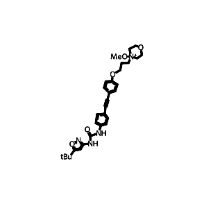 CO[N+]1(CCCOc2ccc(C#Cc3ccc(NC(=O)Nc4cc(C(C)(C)C)on4)cc3)cc2)CCOCC1